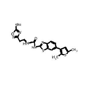 Cc1cc(-c2ccc3nc(NC(=O)NCCc4noc(C(C)(C)C)n4)sc3c2)c(C)s1